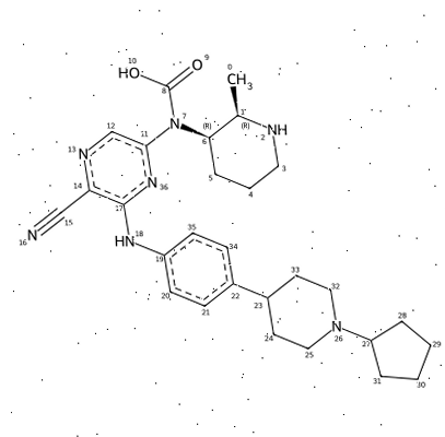 C[C@H]1NCCC[C@H]1N(C(=O)O)c1cnc(C#N)c(Nc2ccc(C3CCN(C4CCCC4)CC3)cc2)n1